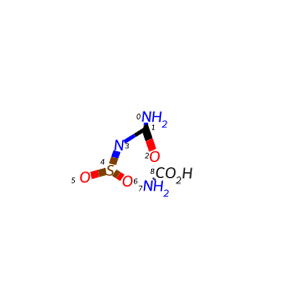 NC(=O)N=S(=O)=O.NC(=O)O